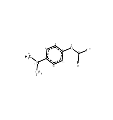 CN(C)c1c[c]c(OC(F)F)cc1